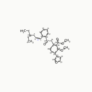 CCN(CC)C/C=C\c1ccccc1[S+]([O-])Cc1ccc(-c2ccoc2)c(OC)c1C(=O)OC